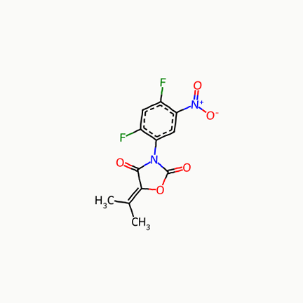 CC(C)=C1OC(=O)N(c2cc([N+](=O)[O-])c(F)cc2F)C1=O